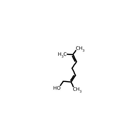 CC(C)=CCC=C(C)CO